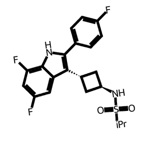 CC(C)S(=O)(=O)N[C@H]1C[C@H](c2c(-c3ccc(F)cc3)[nH]c3c(F)cc(F)cc32)C1